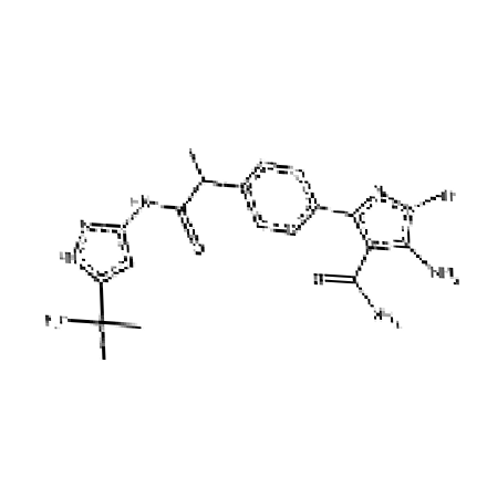 CC(C(=O)Nc1cc(C(C)(C)C(F)(F)F)[nH]n1)c1ccc(-c2nn(C(C)C)c(N)c2C(N)=O)cc1